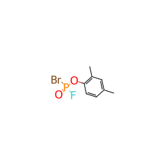 Cc1ccc(OP(=O)(F)Br)c(C)c1